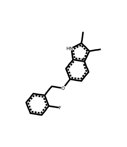 Cc1[nH]c2cc(OCc3ccccc3F)ccc2c1C